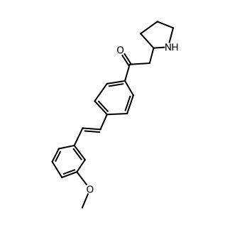 COc1cccc(C=Cc2ccc(C(=O)CC3CCCN3)cc2)c1